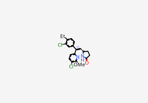 CCc1ccc(/C(=C/[C@H]2CCC(=O)N2)c2ccc(Cl)c(OC)n2)cc1Cl